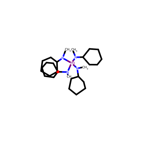 CN(C1CCCCC1)[PH](N(C)C1CCCCC1)(N(C)C1CCCCC1)N(C)C1CCCCC1